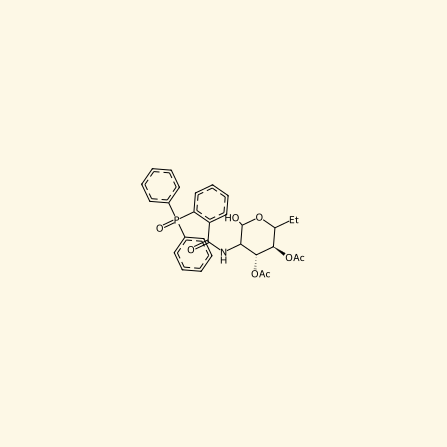 CCC1OC(O)C(NC(=O)c2ccccc2P(=O)(c2ccccc2)c2ccccc2)[C@@H](OC(C)=O)[C@@H]1OC(C)=O